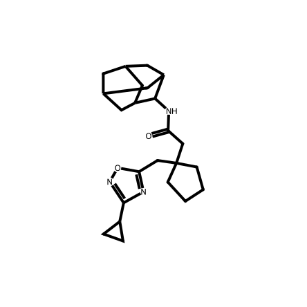 O=C(CC1(Cc2nc(C3CC3)no2)CCCC1)NC1C2CC3CC(C2)CC1C3